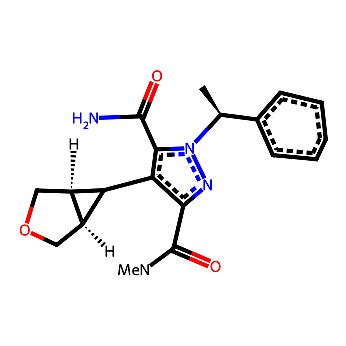 CNC(=O)c1nn([C@@H](C)c2ccccc2)c(C(N)=O)c1C1[C@H]2COC[C@@H]12